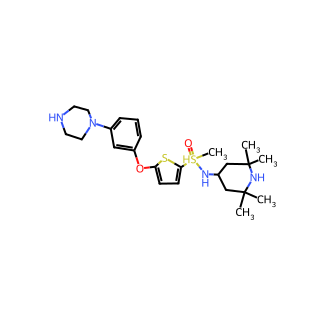 CC1(C)CC(N[SH](C)(=O)c2ccc(Oc3cccc(N4CCNCC4)c3)s2)CC(C)(C)N1